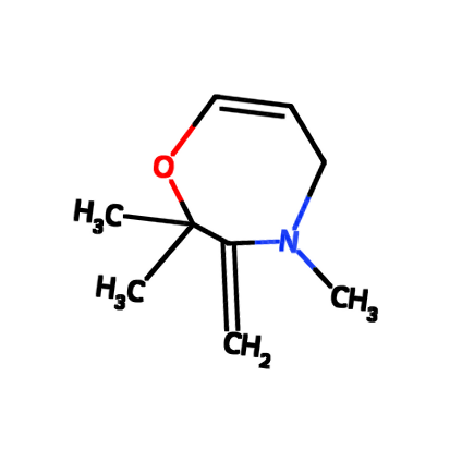 C=C1N(C)CC=COC1(C)C